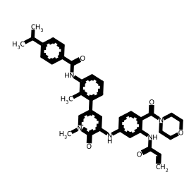 C=CC(=O)Nc1cc(Nc2cc(-c3cccc(NC(=O)c4ccc(C(C)C)cc4)c3C)cn(C)c2=O)ccc1C(=O)N1CCOCC1